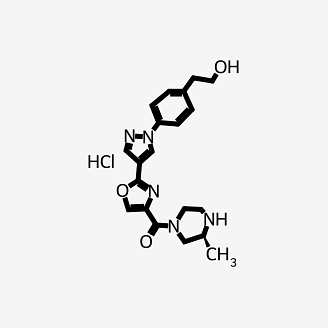 C[C@H]1CN(C(=O)c2coc(-c3cnn(-c4ccc(CCO)cc4)c3)n2)CCN1.Cl